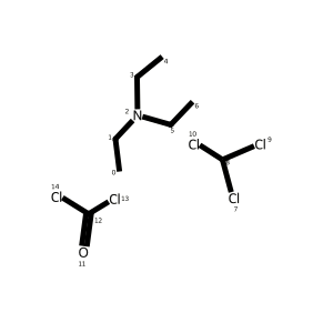 CCN(CC)CC.ClC(Cl)Cl.O=C(Cl)Cl